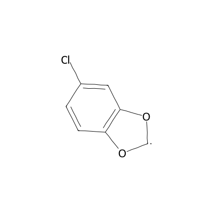 Clc1ccc2c(c1)O[CH]O2